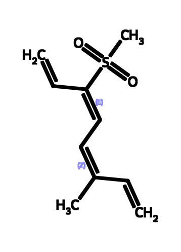 C=C/C(C)=C\C=C(/C=C)S(C)(=O)=O